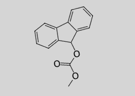 COC(=O)OC1c2ccccc2-c2ccccc21